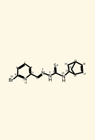 S=C(NN=Cc1cccc(Br)n1)NC1CC2C=CC1C2